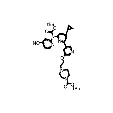 CC(C)(C)OC(=O)N1CCN(CCOc2cncc(-c3cc(C4CC4)cc(N(C(=O)OC(C)(C)C)c4cc(C#N)ccn4)n3)c2)CC1